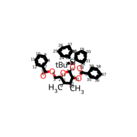 C[C@@H]1C(COC(=O)c2ccccc2)O[C@@H](O[Si](c2ccccc2)(c2ccccc2)C(C)(C)C)C(OC(=O)c2ccccc2)[C@H]1C